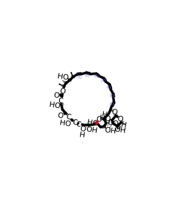 C[C@@H]1[C@H](O)[C@H](O[C@H]2/C=C/C=C/C=C/C=C/C=C/C=C/C=C/[C@H](C)[C@@H](O)[C@@H](C)[C@H](C)OC(=O)C[C@H](O)CC(=O)CC(O)CCC(O)[C@H](O)C[C@]3(O)C[C@H](O)[C@@H](C(=O)O)[C@H](C2)O3)O[C@H](C)[C@H]1O